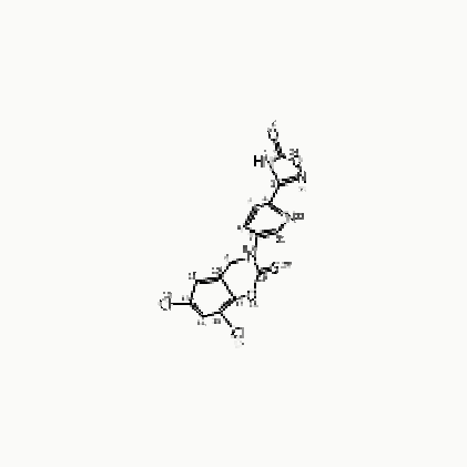 O=c1[nH]c(-c2ccc(N3Cc4cc(Cl)cc(Cl)c4OC3=S)cn2)no1